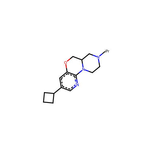 CC(C)N1CCN2c3ncc(C4CCC4)cc3OCC2C1